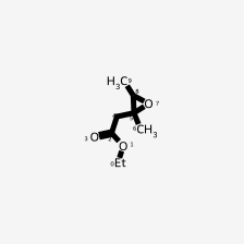 CCOC(=O)CC1(C)OC1C